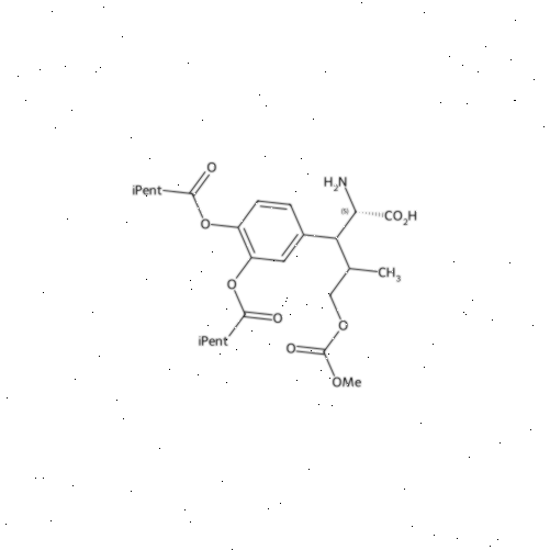 CCCC(C)C(=O)Oc1ccc(C(C(C)COC(=O)OC)[C@H](N)C(=O)O)cc1OC(=O)C(C)CCC